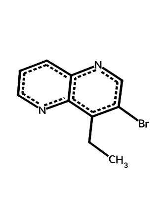 CCc1c(Br)cnc2cccnc12